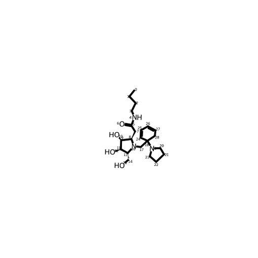 CCCCNC(=O)C[C@@H]1[C@H](O)[C@H](O)[C@@H](CO)N1CC1(N2CCCC2)C=CC=CC1